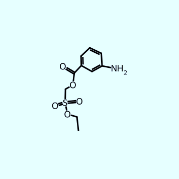 CCOS(=O)(=O)COC(=O)c1cccc(N)c1